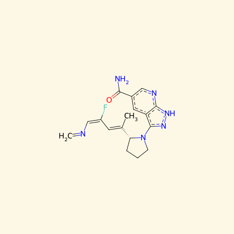 C=N/C=C(F)\C=C(/C)[C@H]1CCCN1c1n[nH]c2ncc(C(N)=O)cc12